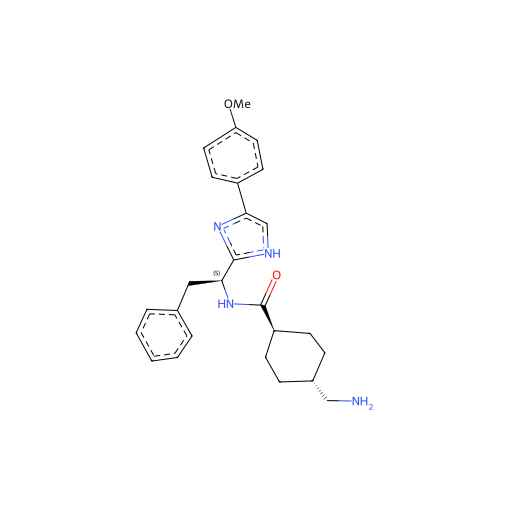 COc1ccc(-c2c[nH]c([C@H](Cc3ccccc3)NC(=O)[C@H]3CC[C@H](CN)CC3)n2)cc1